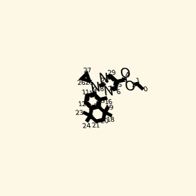 CCOC(=O)c1cnc(N(c2ccc3c(c2C)C(C)(C)CCC3(C)C)C2CC2)nc1